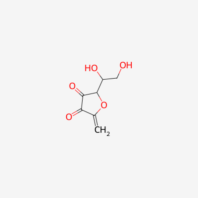 C=C1OC(C(O)CO)C(=O)C1=O